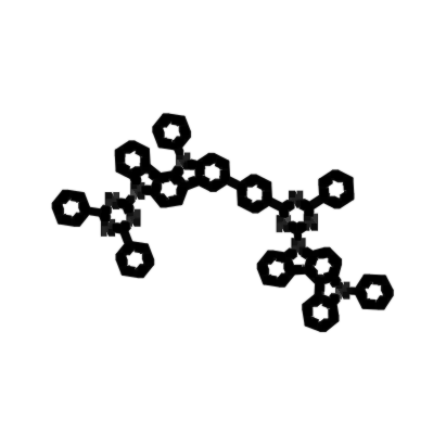 c1ccc(-c2nc(-c3ccc(-c4ccc5c(c4)c4ccc6c(c7ccccc7n6-c6nc(-c7ccccc7)nc(-c7ccccc7)n6)c4n5-c4ccccc4)cc3)nc(-n3c4ccccc4c4c5c6ccccc6n(-c6ccccc6)c5ccc43)n2)cc1